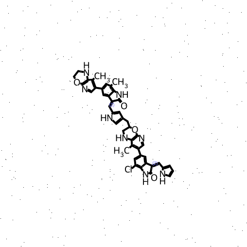 Cc1cc(-c2cnc3c(c2C)NCCO3)cc2c1NC(=O)/C2=C\c1cc(CC2CNc3c(ncc(-c4cc(Cl)c5c(c4)/C(=C/c4ccc[nH]4)C(=O)N5)c3C)O2)c[nH]1